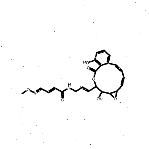 CON=CC=CC(=O)NCC=CC1OC(=O)c2c(O)cccc2C=CC=CC2OC2C1O